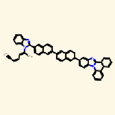 C#C/C=C\C=C(/C)n1c(-c2ccc3cc(-c4ccc5c(c4)=CCC(c4ccc6c(c4)nc4n6-c6ccccc6C6C=CC=CC46)C=5)ccc3c2)nc2ccccc21